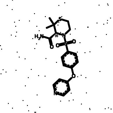 CC1(C)SCCN(S(=O)(=O)c2ccc(Oc3ccncc3)cc2)[C@H]1C(N)=O